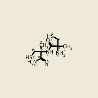 CC(N)(CS)C(=O)N[C@@](C)(CS)C(N)=O